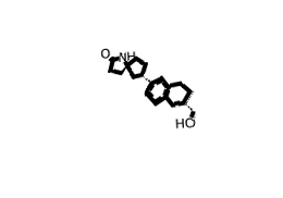 O=C1CC[C@]2(CC[C@H](c3ccc4c(c3)CC[C@H](CO)C4)C2)N1